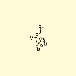 CCO[Si](CC(C)(C)OCC1CO1)(OCC)OCC